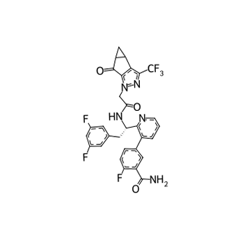 NC(=O)c1cc(-c2cccnc2[C@H](Cc2cc(F)cc(F)c2)NC(=O)Cn2nc(C(F)(F)F)c3c2C(=O)C2CC32)ccc1F